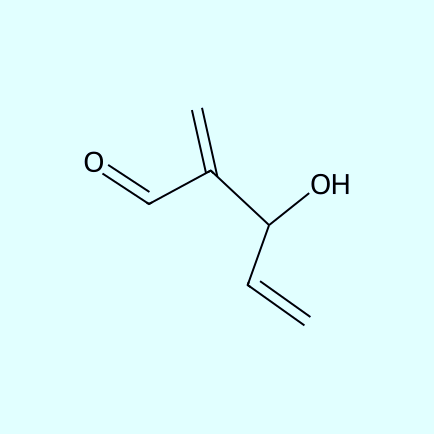 C=CC(O)C(=C)C=O